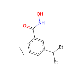 CC.CCC(CC)c1cccc(C(=O)NO)c1